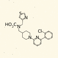 O=C(O)N(Cc1cscn1)CC1CCN(c2cccc(-c3ccccc3Cl)n2)CC1